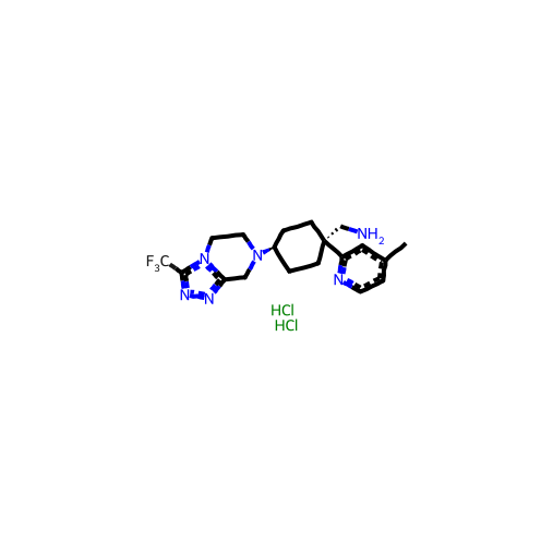 Cc1ccnc([C@]2(CN)CC[C@H](N3CCn4c(nnc4C(F)(F)F)C3)CC2)c1.Cl.Cl